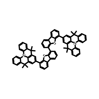 CC1(C)c2ccccc2N2c3ccccc3C(C)(C)c3cc(-c4cccc5c4sc4c(-c6cccc7c6sc6c(-c8cc9c%10c(c8)C(C)(C)c8ccccc8N%10c8ccccc8C9(C)C)cccc67)cccc45)cc1c32